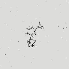 c1cc(C2CO2)nc(-n2cnnn2)c1